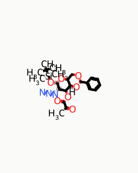 CC(=O)C(=O)OC1[C@@H]2OC(c3ccccc3)OCC2O[C@@H](O[Si](C)(C)C(C)(C)C)[C@H]1N=[N+]=[N-]